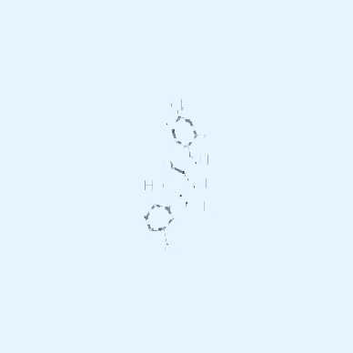 CC(=O)c1cccc(C(C)(C)NC(=O)Nc2ccc(Cl)nc2)c1